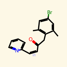 Cc1cc(Br)cc(C)c1CC(=O)/C=C\c1ccccn1